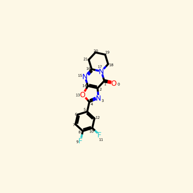 O=c1c2nc(-c3ccc(F)c(F)c3)oc2nc2n1CCCC2